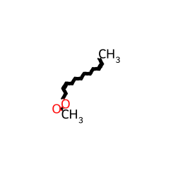 CC/C=C\CCCCCC/C=C\CCOC(C)=O